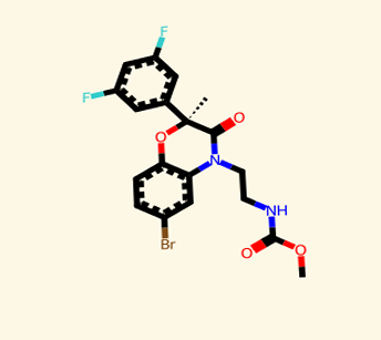 COC(=O)NCCN1C(=O)[C@](C)(c2cc(F)cc(F)c2)Oc2ccc(Br)cc21